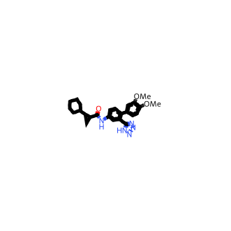 COc1ccc(-c2ccc(NC(=O)C3CC3C3CCCCC3)cc2-c2nnn[nH]2)cc1OC